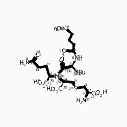 CCCCCCCCCCCCCC(=O)N[C@H](C(=O)N([C@H](CCC(N)=O)C(=O)O)[C@H](CSC[C@H](N)C(=O)O)C(=O)O)[C@H](C)CC